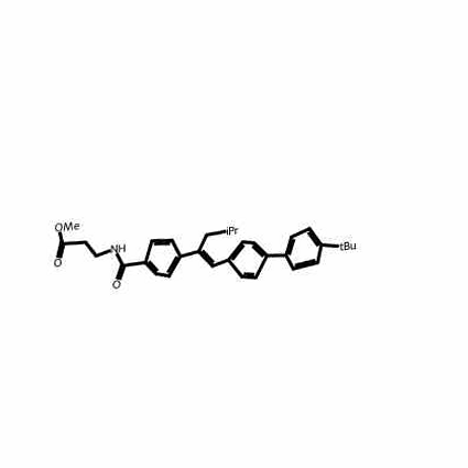 COC(=O)CCNC(=O)c1ccc(/C(=C/c2ccc(-c3ccc(C(C)(C)C)cc3)cc2)CC(C)C)cc1